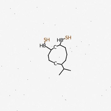 CC(C)C1CCCC(BS)CC(BS)CCC1